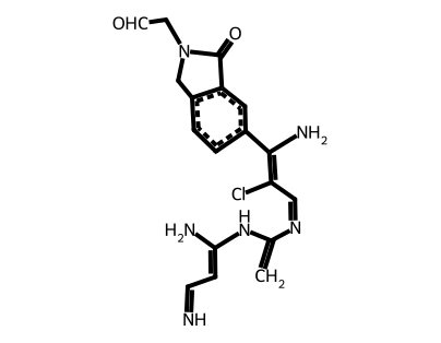 C=C(/N=C\C(Cl)=C(/N)c1ccc2c(c1)C(=O)N(CC=O)C2)N/C(N)=C/C=N